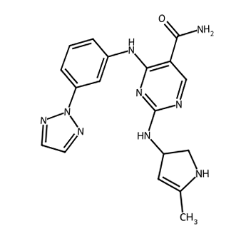 CC1=CC(Nc2ncc(C(N)=O)c(Nc3cccc(-n4nccn4)c3)n2)CN1